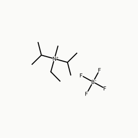 CC[N+](C)(C(C)C)C(C)C.F[B-](F)(F)F